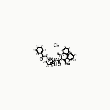 CN(c1ccccc1)C(C(=O)O[C@H]1C[N+]2(CC(=O)c3ccccc3)CCC1CC2)c1csc2ccccc12.[Cl-]